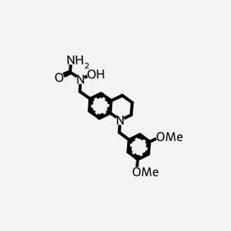 COc1cc(CN2CCCc3cc(CN(O)C(N)=O)ccc32)cc(OC)c1